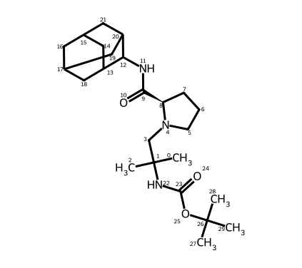 CC(C)(CN1CCC[C@@H]1C(=O)NC1C2CC3CC(C2)CC1C3)NC(=O)OC(C)(C)C